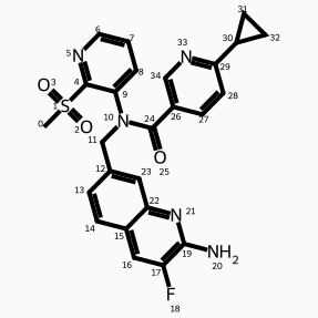 CS(=O)(=O)c1ncccc1N(Cc1ccc2cc(F)c(N)nc2c1)C(=O)c1ccc(C2CC2)nc1